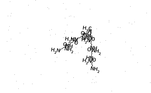 CCN(CCCNC(=O)[C@@H](N)CCCCNC(=O)[C@@H](N)CCCCNC(=O)[C@@H](N)CCCCN)CCCNC(=O)[C@@H](N)CCCCNC(=O)[C@@H](N)CCCCNC(=O)[C@@H](N)CCCCN